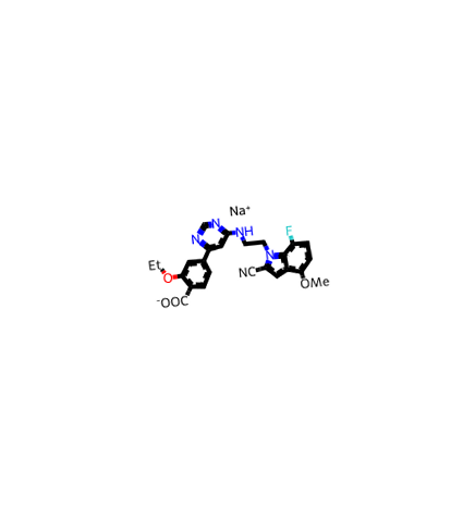 CCOc1cc(-c2cc(NCCn3c(C#N)cc4c(OC)ccc(F)c43)ncn2)ccc1C(=O)[O-].[Na+]